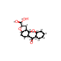 O=C(O)C1Cc2c(ccc3c(=O)c4ccccc4oc23)O1